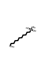 CCCCCCCCCCCCCCCCCCCC[N+](O)(O)CCCC